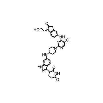 Cn1nc(C2CCC(=O)NC2=O)c2ccc(NC3CCN(c4ncc(Cl)c(Nc5ccc6c(c5)CC(=O)N6CCO)n4)CC3)cc21